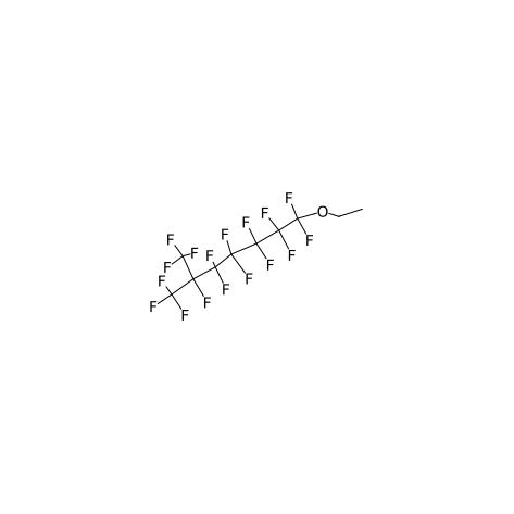 CCOC(F)(F)C(F)(F)C(F)(F)C(F)(F)C(F)(F)C(F)(C(F)(F)F)C(F)(F)F